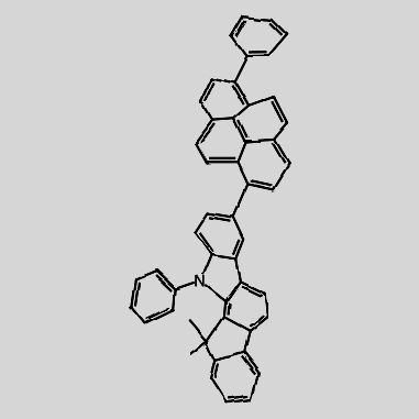 CC1(C)c2ccccc2-c2ccc3c4cc(-c5ccc6ccc7c(-c8ccccc8)ccc8ccc5c6c87)ccc4n(-c4ccccc4)c3c21